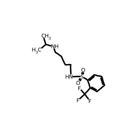 CC(C)NCCCCNS(=O)(=O)c1ccccc1C(F)(F)F